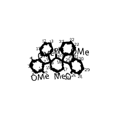 COc1cccc(OC)c1C1(c2ccccc2)C=CCC(c2ccccc2)(c2c(OC)cccc2OC)C1P